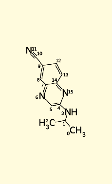 CC(C)Nc1cnc2cc(C#N)ccc2n1